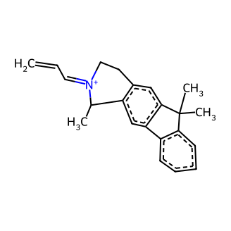 C=CC=[N+]1CCc2cc3c(cc2C1C)-c1ccccc1C3(C)C